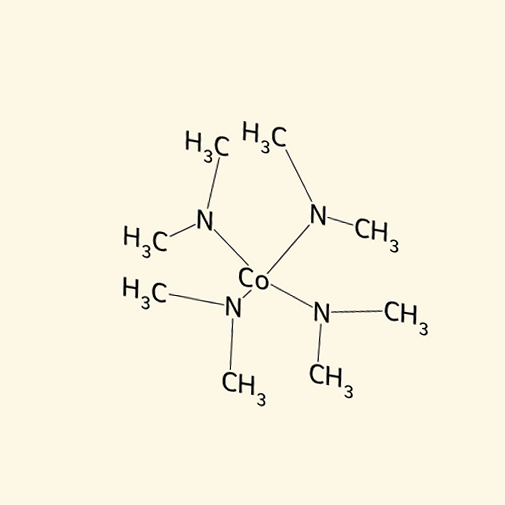 C[N](C)[Co]([N](C)C)([N](C)C)[N](C)C